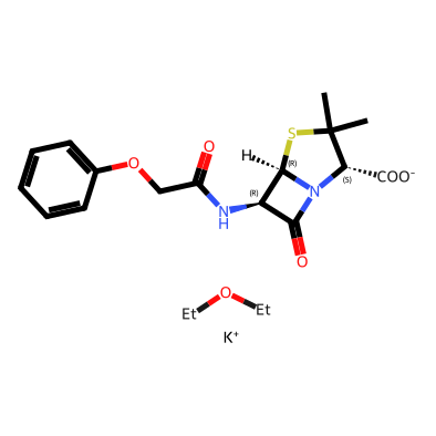 CC1(C)S[C@@H]2[C@H](NC(=O)COc3ccccc3)C(=O)N2[C@H]1C(=O)[O-].CCOCC.[K+]